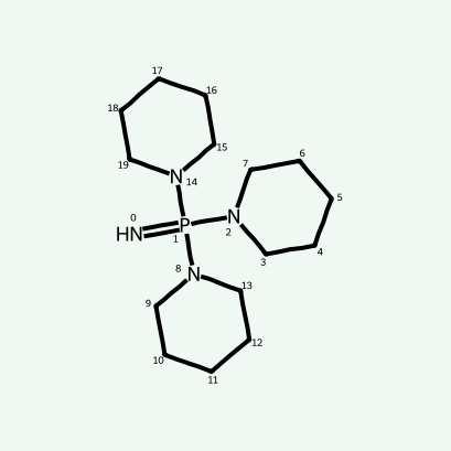 N=P(N1CCCCC1)(N1CCCCC1)N1CCCCC1